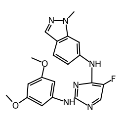 COc1cc(Nc2ncc(F)c(Nc3ccc4cnn(C)c4c3)n2)cc(OC)c1